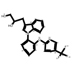 OCC(O)Cc1cn(-c2ccccc2Oc2ccc(C(F)(F)F)cn2)c2ccccc12